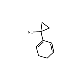 N#CC1(C2=CC[CH]C=C2)CC1